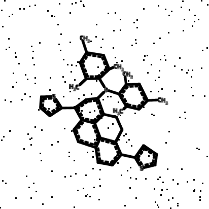 Cc1cc(C)c(B(c2cc(-c3cccs3)c3ccc4ccc(-c5cccs5)c5c4c3c2CC5)c2c(C)cc(C)cc2C)c(C)c1